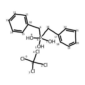 ClC(Cl)(Cl)Cl.OP(O)(O)(Cc1ccccc1)Cc1ccccc1